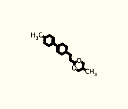 CC1CC=C(C2=CCC(CCC3OCC(C)CO3)CC2)CC1